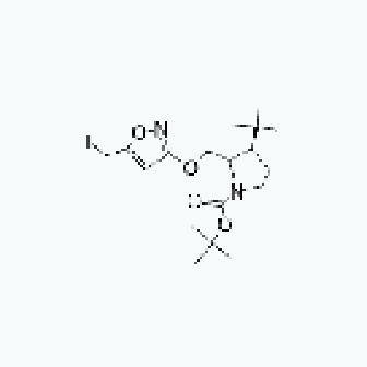 CC(C)(C)OC(=O)N1CC[C@H](C(C)(C)C)C1COc1cc(CI)on1